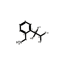 NCc1ccccc1C(F)(F)C(F)F